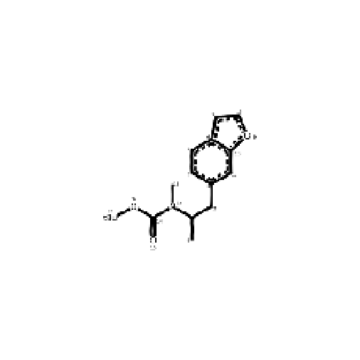 CC(Cc1ccc2ccoc2c1)N(C)C(=O)OC(C)(C)C